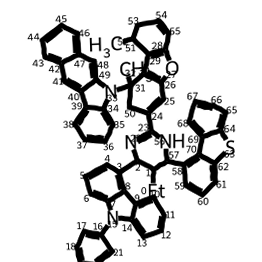 CCC1C(c2cccc3c2c2ccccc2n3-c2ccccc2)N=C(C2=Cc3oc4c(c3C(C)(n3c5ccccc5c5cc6ccccc6cc53)C2)C(C)CC=C4)NC1c1cccc2sc3ccccc3c12